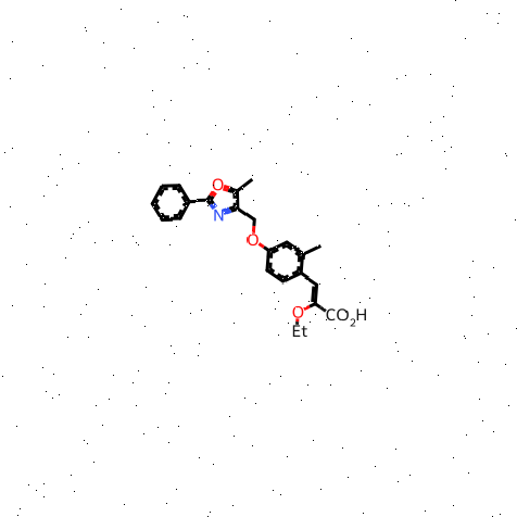 CCOC(=Cc1ccc(OCc2nc(-c3ccccc3)oc2C)cc1C)C(=O)O